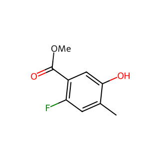 COC(=O)c1cc(O)c(C)cc1F